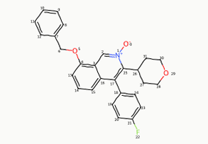 [O-][n+]1cc2c(OCc3ccccc3)cccc2c(-c2ccc(F)cc2)c1C1CCOCC1